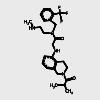 CNCCN(Cc1ccccc1C(F)(F)F)C(=O)CNc1cccc2c1CCN(C(=O)C(C)C)C2